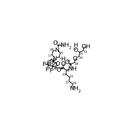 NC(=O)N1CCN(S(=O)(=O)C(F)(F)C(F)(F)F)CC1.NCCCC[C@H](NC(=O)COCC(O)CO)C(=O)O